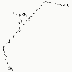 CCCCCCCC/C=C\CCCCCCCCOCCN(CCOCCCCCCCC/C=C\CCCCCCCC)C(=O)CCN(C)C